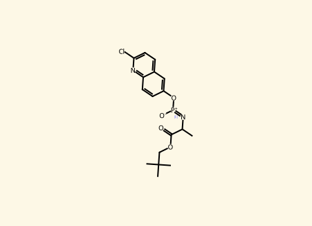 CC(/N=[P+](\[O-])Oc1ccc2nc(Cl)ccc2c1)C(=O)OCC(C)(C)C